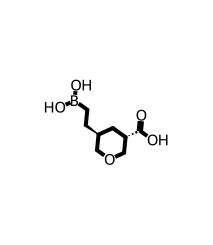 O=C(O)[C@@H]1COC[C@@H](CCB(O)O)C1